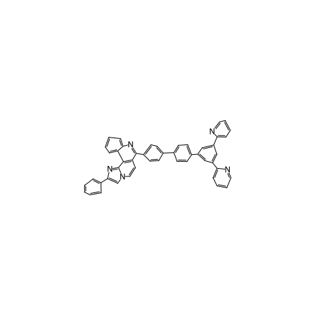 c1ccc(-c2cn3ccc4c(-c5ccc(-c6ccc(-c7cc(-c8ccccn8)cc(-c8ccccn8)c7)cc6)cc5)nc5ccccc5c4c3n2)cc1